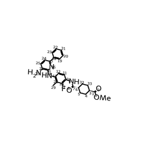 COC(=O)[C@H]1CC[C@H](C(=O)Nc2ccc(Nc3nc(-c4ccccc4)ccc3N)c(C)c2F)CC1